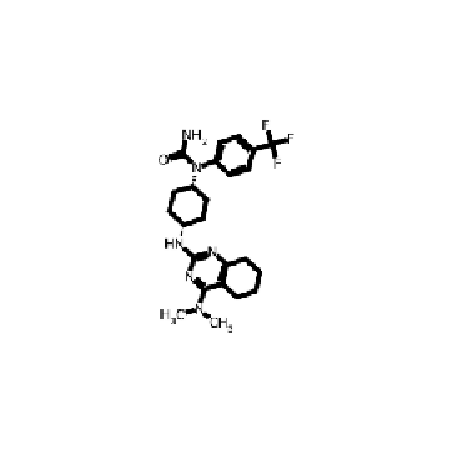 CN(C)c1nc(N[C@H]2CC[C@@H](N(C(N)=O)c3ccc(C(F)(F)F)cc3)CC2)nc2c1CCCC2